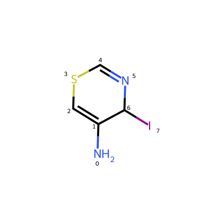 NC1=CSC=NC1I